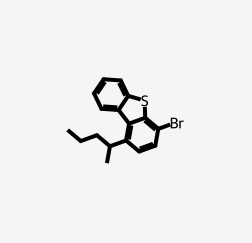 CCCC(C)c1ccc(Br)c2sc3ccccc3c12